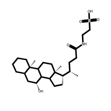 C[C@@H](CCC(=O)NCCS(=O)(=O)O)[C@@H]1CCC2C3C(CC[C@]21C)[C@]1(C)CCCCC1C[C@H]3O